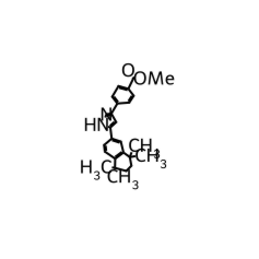 COC(=O)c1ccc(-c2cc(-c3ccc4c(c3)C(C)(C)CCC4(C)C)[nH]n2)cc1